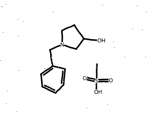 CS(=O)(=O)O.OC1CCN(Cc2ccccc2)C1